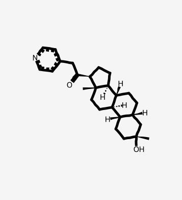 C[C@@]1(O)CC[C@H]2[C@H](CC[C@@H]3[C@@H]2CC[C@]2(C)[C@@H](C(=O)Cc4ccncc4)CC[C@@H]32)C1